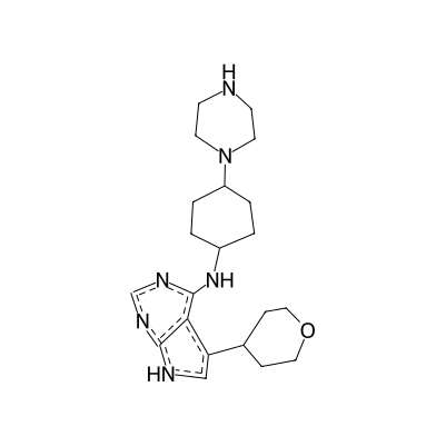 c1nc(NC2CCC(N3CCNCC3)CC2)c2c(C3CCOCC3)c[nH]c2n1